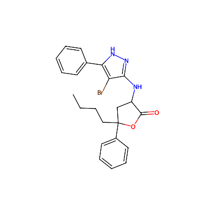 CCCCC1(c2ccccc2)CC(Nc2n[nH]c(-c3ccccc3)c2Br)C(=O)O1